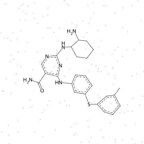 Cc1cccc(Sc2cccc(Nc3nc(NC4CCCCC4N)ncc3C(N)=O)c2)c1